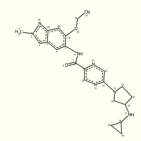 Cn1cc2cc(NC(=O)c3cnc(N4CCC(NC5CC5)C4)cn3)c(OCC#N)cc2n1